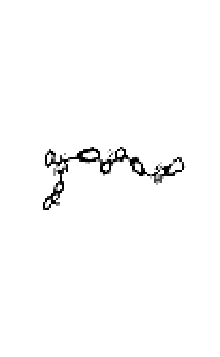 C1=Cc2nc(-c3ccc(-c4ccc5sc6c(-c7cccc(-c8nc(-c9ccccc9)nc(-c9ccc%10sc%11ccccc%11c%10c9)n8)c7)cccc6c5c4)cc3)sc2CC1